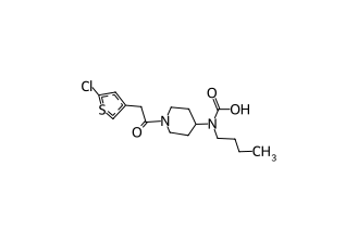 CCCCN(C(=O)O)C1CCN(C(=O)Cc2csc(Cl)c2)CC1